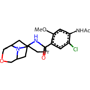 COc1cc(NC(C)=O)c(Cl)cc1C(=O)NC1CC2COCC(C1)N2CCC(C)C